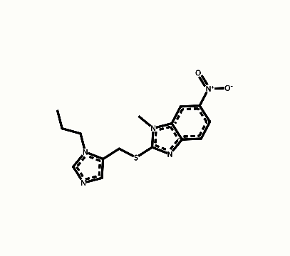 CCCn1cncc1CSc1nc2ccc([N+](=O)[O-])cc2n1C